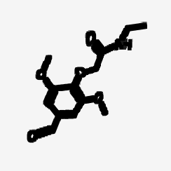 CCNC(=O)COc1c(OC)cc(C=O)cc1OC